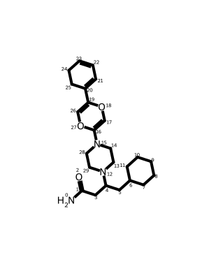 NC(=O)CC(CC1CCCCC1)N1CCN(C2=COC(C3=CC=CCC3)=CO2)CC1